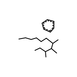 CCCCCCC(C)C(C)C(C)CC.c1ccccc1